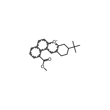 COC(=O)c1cccc2ccc3[o+]c4c(cc3c12)CCC(C(C)(C)C)C4